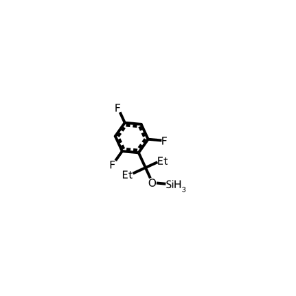 CCC(CC)(O[SiH3])c1c(F)cc(F)cc1F